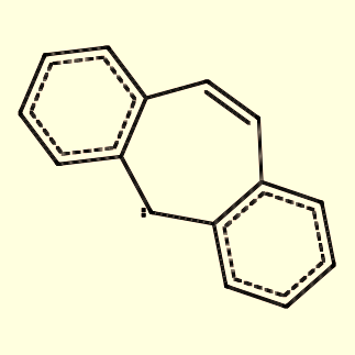 [C]1c2ccccc2C=Cc2ccccc21